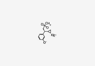 CP(=O)([O-])C[C@H](c1cccc([O-])c1)C1CC1.[K+].[K+]